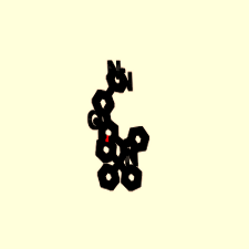 c1ccc(C2(c3ccccc3)c3ccccc3-n3c2c(-c2ccc4oc5ccc(-c6cncnc6)cc5c4c2)c2ccccc23)cc1